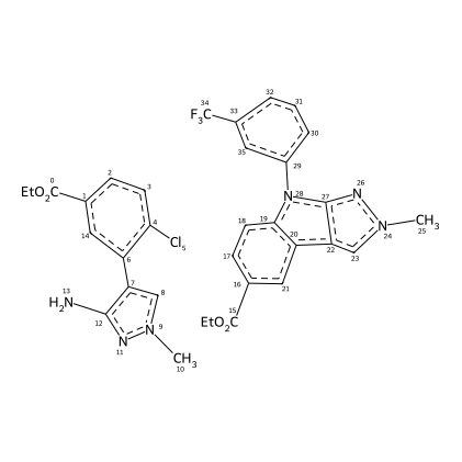 CCOC(=O)c1ccc(Cl)c(-c2cn(C)nc2N)c1.CCOC(=O)c1ccc2c(c1)c1cn(C)nc1n2-c1cccc(C(F)(F)F)c1